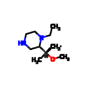 [CH2][C@](C)(OC)C1CNCCN1CC